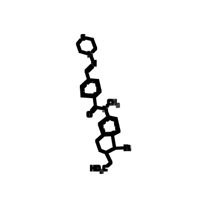 CCC1c2ccc(N(C)C(=O)c3ccc(C=NN4CCSCC4)cc3)cc2CCC1CC(=O)O